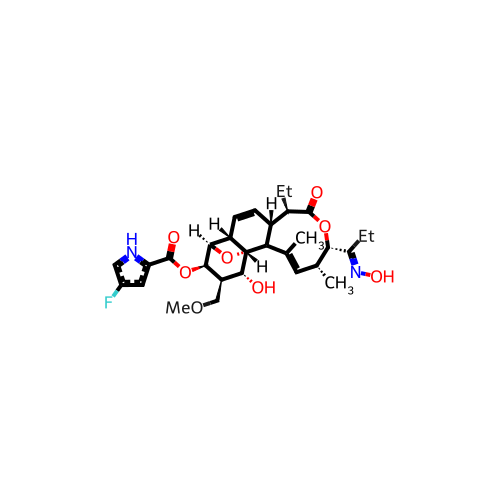 CCC(=NO)[C@H]1OC(=O)[C@H](CC)[C@H]2C=C[C@H]3[C@H]4O[C@]2(/C(C)=C/[C@H]1C)[C@@H]3[C@H](O)[C@@H](COC)[C@H]4OC(=O)c1cc(F)c[nH]1